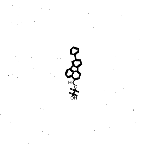 CC(C)(O)C(C)(C)OBc1ccc2c3c(cccc13)-c1cc(-c3ccccc3)ccc1-2